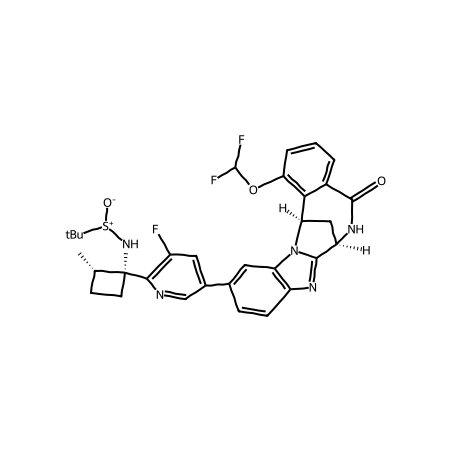 C[C@H]1CC[C@]1(N[S+]([O-])C(C)(C)C)c1ncc(-c2ccc3nc4n(c3c2)[C@@H]2C[C@H]4NC(=O)c3cccc(OC(F)F)c32)cc1F